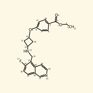 CCOC(=O)c1ccc(OC2CC(NCc3c(F)ccc4cnccc34)C2)cc1